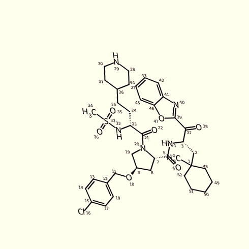 CC1(C[C@H](NC(=O)[C@@H]2C[C@@H](OCc3ccc(Cl)cc3)CN2C(=O)[C@@H](CCC2CCNCC2)NS(C)(=O)=O)C(=O)c2nc3ccccc3o2)CCCCC1